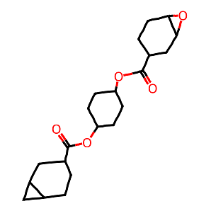 O=C(OC1CCC(OC(=O)C2CCC3OC3C2)CC1)C1CCC2CC2C1